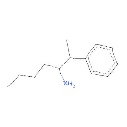 CCCCC(N)C(C)c1ccccc1